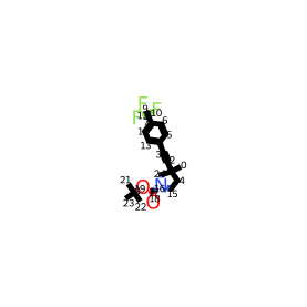 CC1(C#Cc2ccc(C(F)(F)F)cc2)CCN(C(=O)OC(C)(C)C)C1